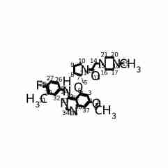 COc1cc(OC[C@@H]2CCCN2C(=O)CN2CCN(C)CC2)c2c(Nc3ccc(F)c(C)c3)ncnc2c1